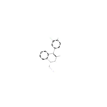 CC1=C(c2ccc(Cl)c(Cl)c2)c2ccccc2[C@H](CN)C1